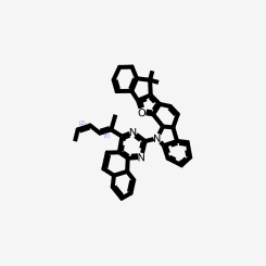 C/C=C\C=C(/C)c1nc(N2c3ccccc3C3C=Cc4c(oc5c4C(C)(C)C4=C5C=CCC4)C32)nc2c1C=CC1C=CC=CC21